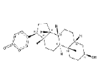 C[C@]12CC[C@H](O)C[C@H]1CC[C@H]1[C@H]3CC[C@H](c4ccc(=O)oc4)[C@@]3(C)CC[C@@H]12